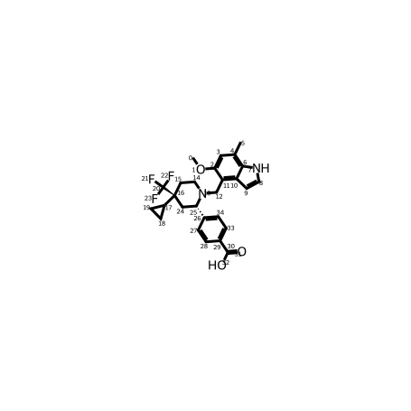 COc1cc(C)c2[nH]ccc2c1CN1CC[C@](C2CC2)(C(F)(F)F)C[C@H]1c1ccc(C(=O)O)cc1